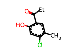 CCC(=O)c1cc(C)c(Cl)cc1O